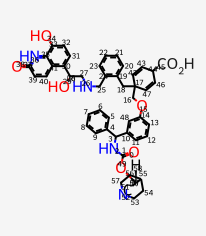 O=C(NC(c1ccccc1)c1cccc(OCC2(Cc3ccccc3CNC[C@H](O)c3ccc(O)c4[nH]c(=O)ccc34)C=CC(C(=O)O)C=C2)c1)O[C@H]1CN2CCC1CC2